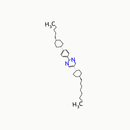 CCCCCCCC[C@H]1CC[C@H](c2cnc(-c3ccc([C@H]4CC[C@H](CCCCC)CC4)cc3)nc2)CC1